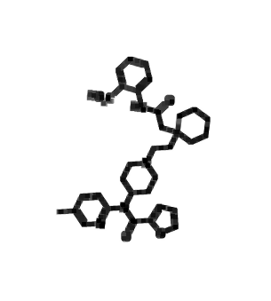 Cc1ccc(N(C(=O)c2ccco2)C2CCN(CCC3(CC(=O)Nc4ccccc4C(=O)O)CCCCC3)CC2)nc1